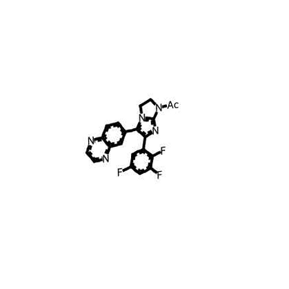 CC(=O)N1CCn2c1nc(-c1cc(F)cc(F)c1F)c2-c1ccc2nccnc2c1